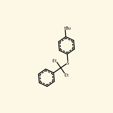 CCC(CC)(Sc1ccc(C(C)(C)C)cc1)c1ccccc1